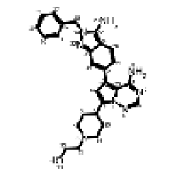 Nc1ncnn2c(C3CCN(CCO)CC3)cc(-c3ccc4c(N)n(Cc5ccccc5)nc4c3)c12